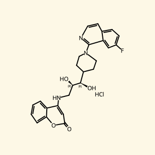 Cl.O=c1cc(NC[C@@H](O)[C@H](O)C2CCN(c3nccc4ccc(F)cc34)CC2)c2ccccc2o1